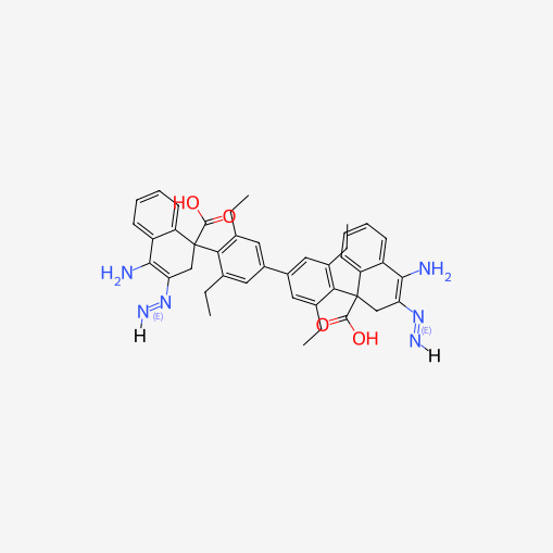 [H]/N=N/C1=C(N)c2ccccc2C(C(=O)O)(c2c(CC)cc(-c3cc(CC)c(C4(C(=O)O)CC(/N=N/[H])=C(N)c5ccccc54)c(CC)c3)cc2CC)C1